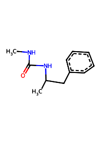 CNC(=O)NC(C)Cc1ccccc1